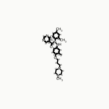 Cc1cc(C)c(N(Nc2ccc(OCCCN3CCN(C)CC3)c(F)c2)C(=O)c2cncnc2)c(C)c1